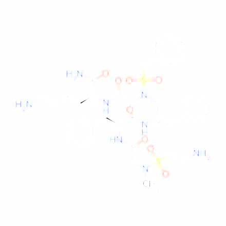 CN(CC(=O)N[C@@H](Cc1ccccc1)C(=O)N[C@@H](Cc1ccccc1)CN(CC(=O)N[C@@H](CCCCN)C(N)=O)S(=O)(=O)Cc1ccccc1)S(=O)(=O)CCN